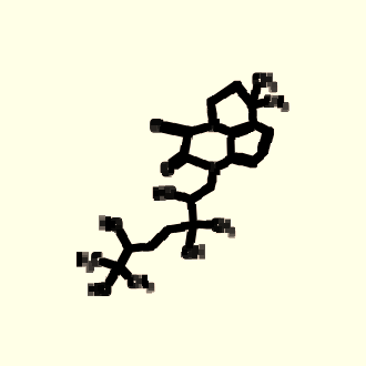 CC1(C)CCn2c(=O)c(=O)n(CC(O)C(C)(O)CCC(O)C(C)(C)O)c3cccc1c32